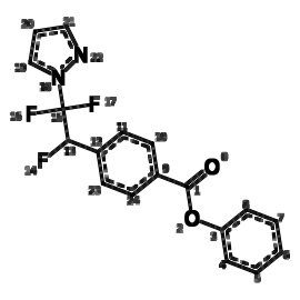 O=C(Oc1ccccc1)c1ccc(C(F)C(F)(F)n2cccn2)cc1